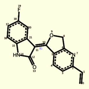 C=Cc1ccc2c(n1)CO/C2=C1/C(=O)Nc2ccc(F)cc21